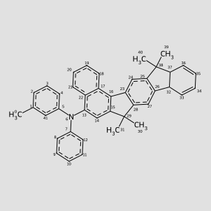 Cc1cccc(N(c2ccccc2)c2cc3c(c4ccccc24)-c2cc4c(cc2C3(C)C)C2C=CC=CC2C4(C)C)c1